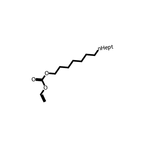 C=COC(=O)OCCCCCCCCCCCCCC